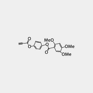 C#CC(=O)Oc1ccc(OC(=O)c2cc(OC)c(OC)cc2OC)cc1